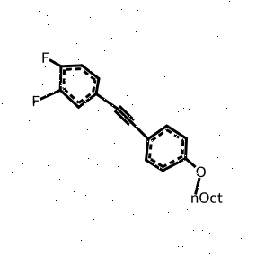 CCCCCCCCOc1ccc(C#Cc2ccc(F)c(F)c2)cc1